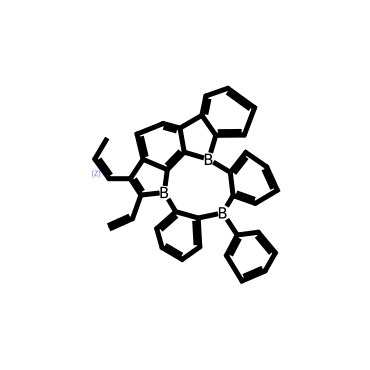 C=CC1=C(/C=C\C)c2ccc3c4c2B1c1ccccc1B(c1ccccc1)c1ccccc1B4c1ccccc1-3